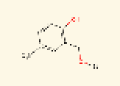 CCOCc1cc([N+](=O)[O-])ccc1O